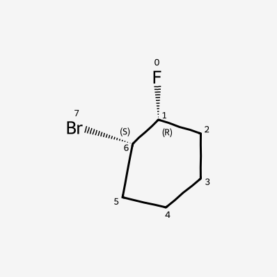 F[C@@H]1CCCC[C@@H]1Br